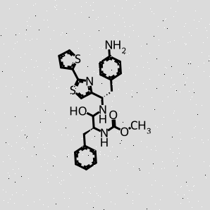 COC(=O)N[C@@H](Cc1ccccc1)C(O)N[C@@H](Cc1ccc(N)cc1)c1csc(-c2cccs2)n1